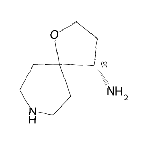 N[C@H]1CCOC12CCNCC2